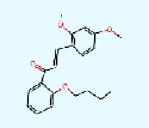 CCCCOc1ccccc1C(=O)/C=C/c1ccc(OC)cc1OC